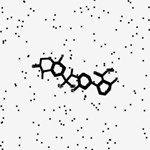 COC(=O)c1c(F)cccc1-c1ccc(C(C)C(O)(c2cc(F)c3c(c2)N(C)C(=O)CO3)C(F)(F)F)c(Cl)c1